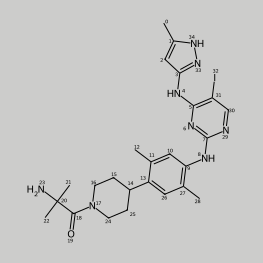 Cc1cc(Nc2nc(Nc3cc(C)c(C4CCN(C(=O)C(C)(C)N)CC4)cc3C)ncc2I)n[nH]1